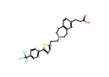 O=C(O)CCc1ccc2c(c1)CCN(CCc1ccc(-c3ccc(C(F)(F)F)cc3)s1)CC2